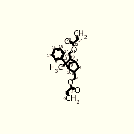 C=CC(=O)OCC1CC2CC1C(C)(c1ccccc1)C2COC(=O)C=C